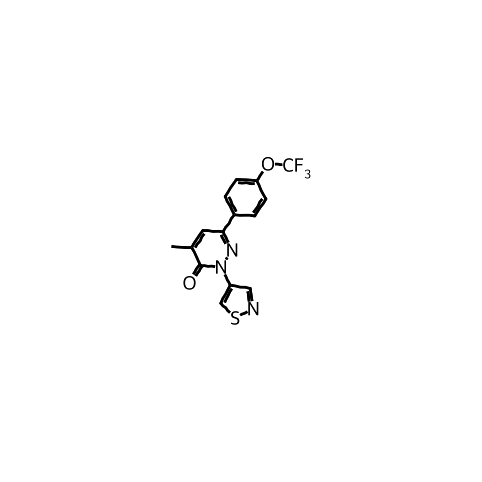 Cc1cc(-c2ccc(OC(F)(F)F)cc2)nn(-c2cnsc2)c1=O